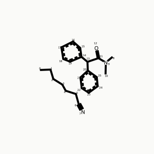 CCCCCCC#N.CN(C)C(=O)C(c1ccccc1)c1ccccc1